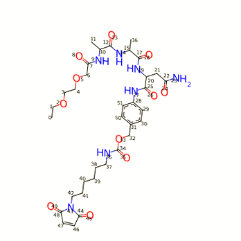 CCOCCOCC(=O)NC(C)C(=O)NC(C)C(=O)NC(CC(N)=O)C(=O)Nc1ccc(COC(=O)NCCCCCCN2C(=O)C=CC2=O)cc1